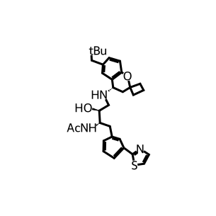 CC(=O)N[C@@H](Cc1cccc(-c2nccs2)c1)[C@@H](O)CN[C@H]1CC2(CCC2)Oc2ccc(CC(C)(C)C)cc21